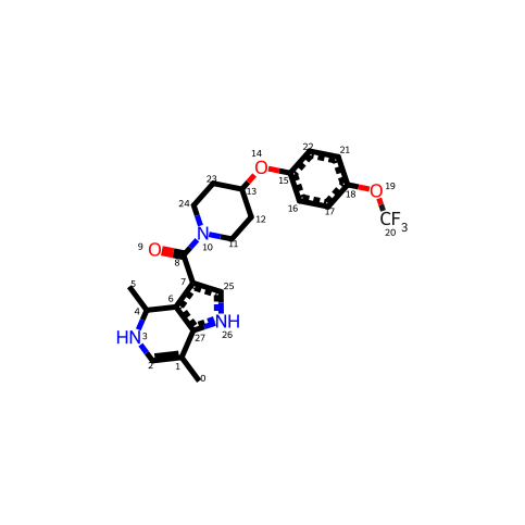 CC1=CNC(C)c2c(C(=O)N3CCC(Oc4ccc(OC(F)(F)F)cc4)CC3)c[nH]c21